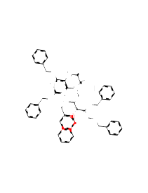 CC1(C)C(=O)Nc2c(OCc3ccccc3)nc(OCc3ccccc3)nc2N1C[C@H](OCc1ccccc1)[C@H](OCc1ccccc1)[C@@H](COCc1ccccc1)OCc1ccccc1